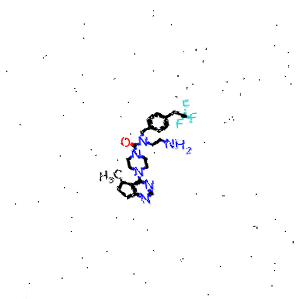 C[C@@H]1CCc2ncnc(N3CCN(C(=O)N(CCN)Cc4ccc(CC(F)(F)F)cc4)CC3)c21